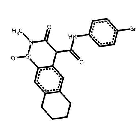 CN1C(=O)C(C(=O)Nc2ccc(Br)cc2)c2cc3c(cc2[S+]1[O-])CCCC3